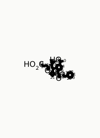 CC(O)c1ccc2c(c1)C(N(C(=O)CCC(=O)O)C1CC1)C1CCC1N2C(=O)OCc1ccccc1